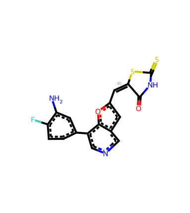 Nc1cc(-c2cncc3cc(/C=C4/SC(=S)NC4=O)oc23)ccc1F